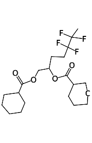 CC(F)(F)C(F)(F)CCC(COC(=O)C1CCCCC1)OC(=O)C1CCCCC1